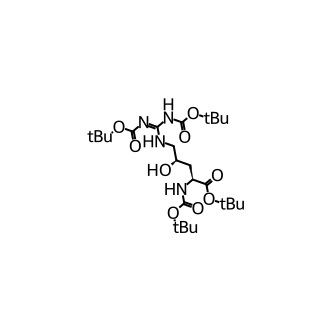 CC(C)(C)OC(=O)/N=C(\NC[C@H](O)C[C@H](NC(=O)OC(C)(C)C)C(=O)OC(C)(C)C)NC(=O)OC(C)(C)C